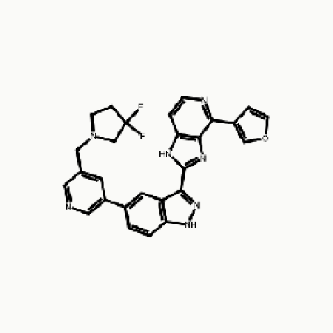 FC1(F)CCN(Cc2cncc(-c3ccc4[nH]nc(-c5nc6c(-c7ccoc7)nccc6[nH]5)c4c3)c2)C1